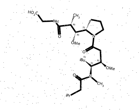 CC[C@H](C)[C@@H]([C@@H](CC(=O)N1CCC[C@H]1[C@H](OC)[C@@H](C)C(=O)NCC(=O)O)OC)N(C)C(=O)CC(C)C